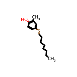 CCCCCCCCSc1ccc(O)c(C)c1